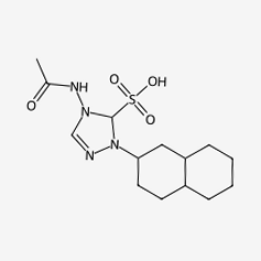 CC(=O)NN1C=NN(C2CCC3CCCCC3C2)C1S(=O)(=O)O